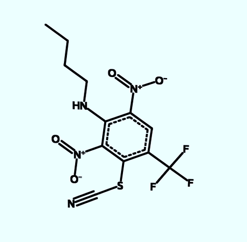 CCCCNc1c([N+](=O)[O-])cc(C(F)(F)F)c(SC#N)c1[N+](=O)[O-]